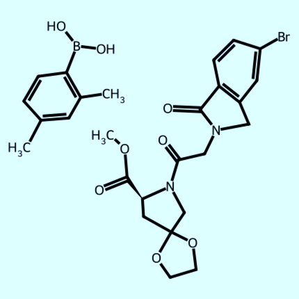 COC(=O)[C@@H]1CC2(CN1C(=O)CN1Cc3cc(Br)ccc3C1=O)OCCO2.Cc1ccc(B(O)O)c(C)c1